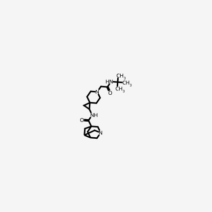 CC(C)(C)NC(=O)CN1CCC2(CC1)CC2NC(=O)C12CC3CN(CC3C1)C2